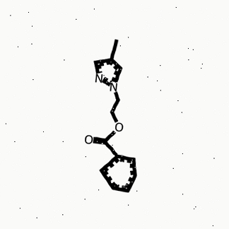 Cc1cnn(CCOC(=O)c2ccccc2)c1